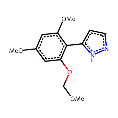 COCOc1cc(OC)cc(OC)c1-c1c[c]n[nH]1